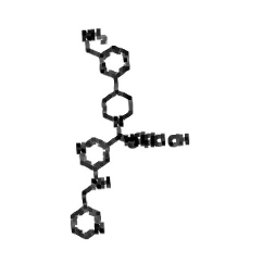 Cl.Cl.Cl.Cl.NCc1cccc(C2CCN(C(=O)c3cncc(NCc4cccnc4)c3)CC2)c1